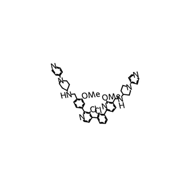 COc1cc(-c2nccc(-c3cccc(-c4ccc(CNC5CCN(c6ccncc6)CC5)c(OC)n4)c3Cl)c2Cl)ccc1CNC1CCN(c2ccncc2)CC1